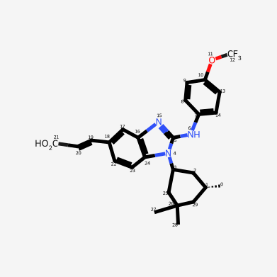 C[C@H]1CC(n2c(Nc3ccc(OC(F)(F)F)cc3)nc3cc(/C=C/C(=O)O)ccc32)CC(C)(C)C1